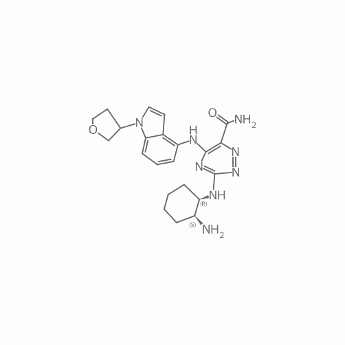 NC(=O)c1nnc(N[C@@H]2CCCC[C@@H]2N)nc1Nc1cccc2c1ccn2C1CCOC1